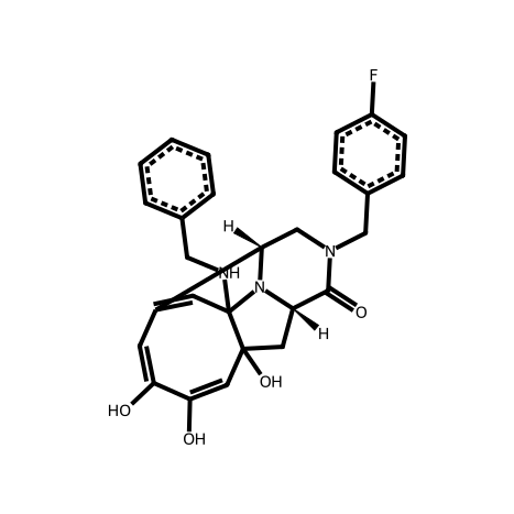 O=C1[C@@H]2CC3(O)/C=C(O)\C(O)=C/C4=CC3(NCc3ccccc3)N2[C@H]4CN1Cc1ccc(F)cc1